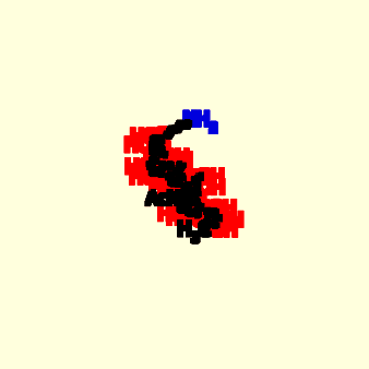 CC(=O)NC1C(OC2C(O)C(CO)OC(OC3C(CO)OC(OC4C(CO)OC(OCCCCCN)C(O)C4O)C(O)C3O)C2O)OC(CO)C(O)C1OC1OC(CO)C(O)C(O)C1OC1OC(C)C(O)C(O)C1O